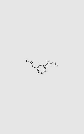 COc1cccc(COF)c1